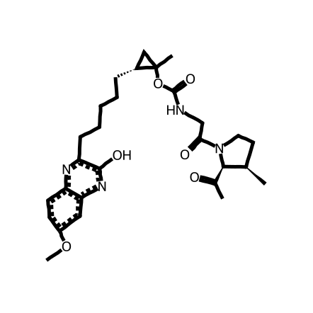 COc1ccc2nc(CCCCC[C@@H]3CC3(C)OC(=O)NCC(=O)N3CC[C@@H](C)[C@H]3C(C)=O)c(O)nc2c1